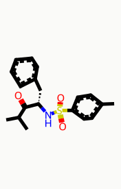 Cc1ccc(S(=O)(=O)N[C@@H](Cc2ccccc2)C(=O)C(C)C)cc1